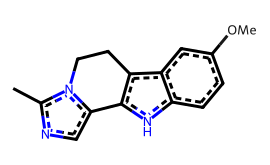 COc1ccc2[nH]c3c(c2c1)CCn1c-3cnc1C